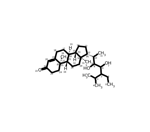 CCC(C(C)C)C(O)C(O)C(C)[C@H]1CC[C@H]2[C@@H]3CCC4=CC(=O)CC[C@]4(C)[C@H]3CC[C@]12C